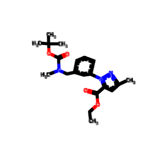 CCOC(=O)c1cc(C)nn1-c1cccc(CN(C)C(=O)OC(C)(C)C)c1